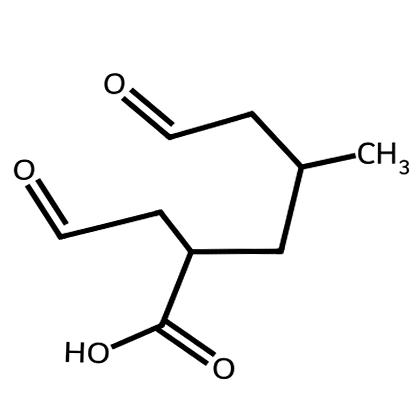 CC(CC=O)CC(CC=O)C(=O)O